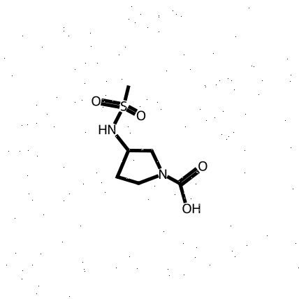 CS(=O)(=O)NC1CCN(C(=O)O)C1